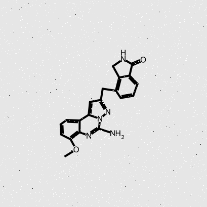 COc1cccc2c1nc(N)n1nc(Cc3cccc4c3CNC4=O)cc21